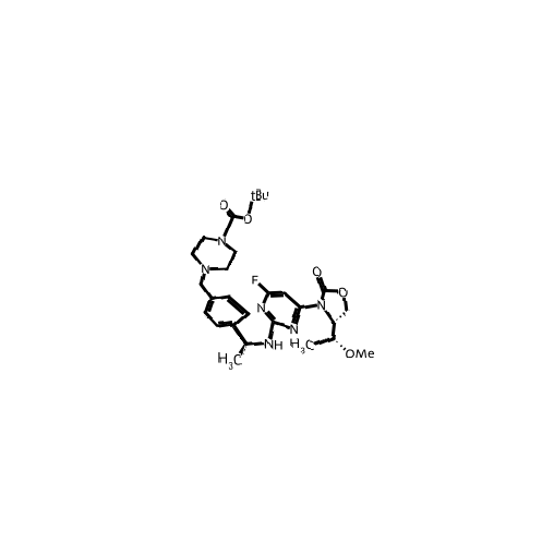 CO[C@H](C)[C@H]1COC(=O)N1c1cc(F)nc(N[C@@H](C)c2ccc(CN3CCN(C(=O)OC(C)(C)C)CC3)cc2)n1